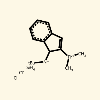 [CH3][Ti+2]([CH3])[C]1=Cc2ccccc2C1NC(C)(C)C.[Cl-].[Cl-].[SiH4]